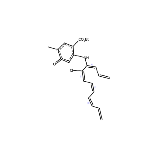 C=C\C=C/C=C\C=C(Cl)/C(=C\C=C)Nc1cc(=O)n(C)cc1C(=O)OCC